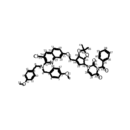 COc1ccc(CN(Cc2ccc(OC)cc2)c2nc3cc(OCC4=CC(n5ccc(=O)n(C(=O)c6ccccc6)c5=O)C5OC(C)(C)OC45)ccc3cc2Cl)cc1